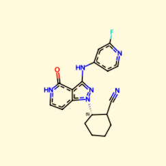 N#CC1CCCC[C@@H]1n1nc(Nc2ccnc(F)c2)c2c(=O)[nH]ccc21